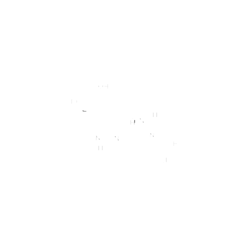 CC[C@@H](CCO)c1cn(C)c2nc(-c3ccc(C(C)C)nc3NC)c(C)cc12